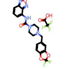 O=C(Nc1cccc2nonc12)N1CCN(Cc2ccc3c(c2)OC(F)(F)O3)CC1.O=C(O)C(F)(F)F